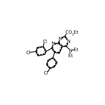 CCOC(=O)c1nc(N(CC)CC)c2cc(-c3ccc(Cl)cc3)c(-c3ccc(Cl)cc3Cl)nc2n1